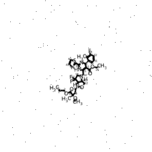 C=CCOC(=O)[C@](C)(CCN1OC[C@H]2[C@@H]1C(F)(F)CN2CC1=C(C(=O)OCC)[C@H](c2cccc(F)c2C)N=C(c2nccs2)N1)OC